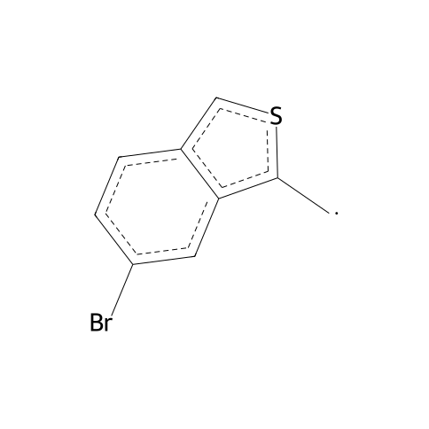 [CH2]c1scc2ccc(Br)cc12